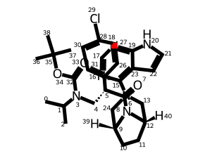 CC(C)N(C[C@@H](C(=O)N1[C@@H]2CC[C@H]1CN(c1ncnc3[nH]ccc13)C2)c1ccc(Cl)cc1)C(=O)OC(C)(C)C